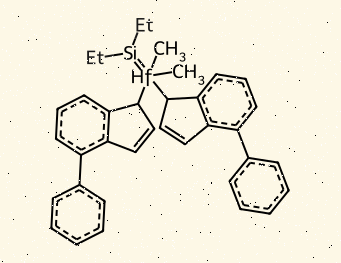 CC[Si](CC)=[Hf]([CH3])([CH3])([CH]1C=Cc2c(-c3ccccc3)cccc21)[CH]1C=Cc2c(-c3ccccc3)cccc21